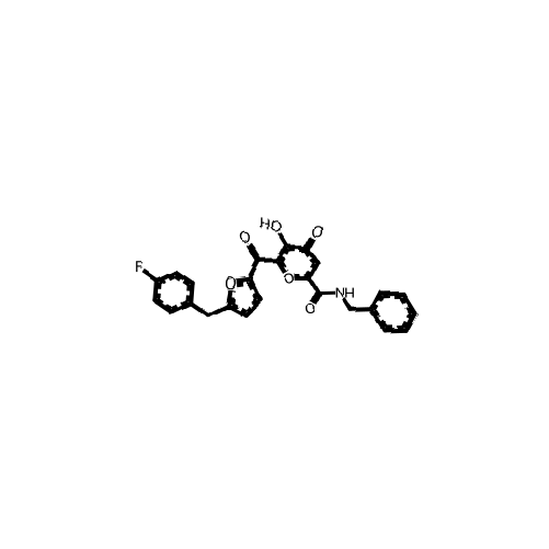 O=C(NCc1ccccc1)c1cc(=O)c(O)c(C(=O)c2ccc(Cc3ccc(F)cc3)o2)o1